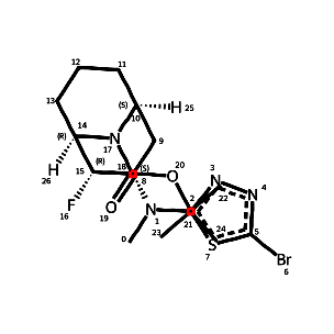 CN(c1nnc(Br)s1)[C@H]1C[C@@H]2CCC[C@H]([C@H]1F)N2C(=O)OC(C)(C)C